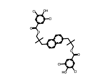 CC(C)(COC(=O)c1cc(Cl)c(O)c(Cl)c1)Cc1ccc2cc(CC(C)(C)COC(=O)c3cc(Cl)c(O)c(Cl)c3)ccc2c1